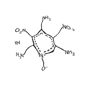 Nc1c([N+](=O)[O-])c(N)[n+]([O-])c(N)c1[N+](=O)[O-].[KH]